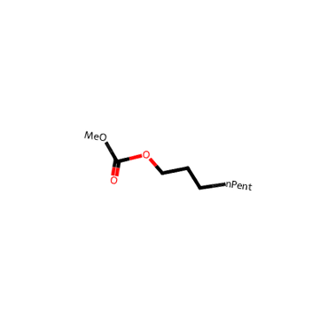 [CH2]OC(=O)OCCCCCCCC